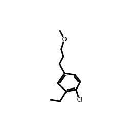 CCc1cc(CCCOC)ccc1Cl